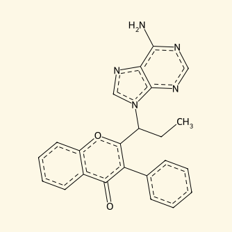 CCC(c1oc2ccccc2c(=O)c1-c1ccccc1)n1cnc2c(N)ncnc21